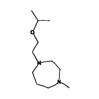 CC(C)OCCN1CCCN(C)CC1